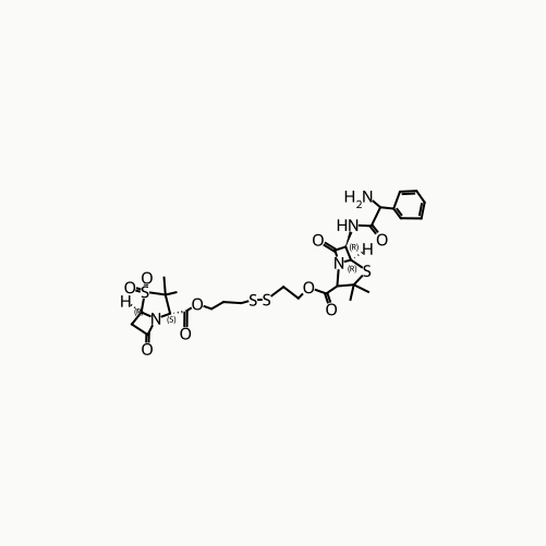 CC1(C)S[C@@H]2[C@H](NC(=O)C(N)c3ccccc3)C(=O)N2C1C(=O)OCCSSCCCOC(=O)[C@@H]1N2C(=O)C[C@H]2S(=O)(=O)C1(C)C